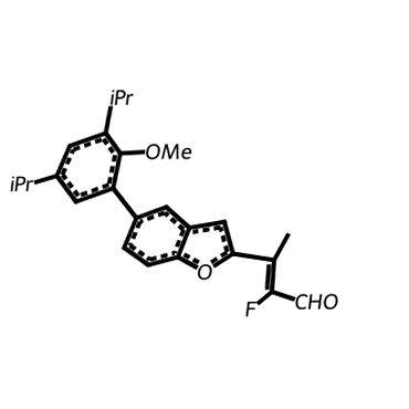 COc1c(-c2ccc3oc(/C(C)=C(\F)C=O)cc3c2)cc(C(C)C)cc1C(C)C